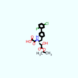 CC(C)OC(=O)[C@H](O)C[C@@H](Cc1ccc(-c2cc(Cl)ccc2F)cc1)NC(=O)C(=O)O